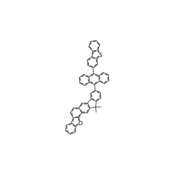 CC1(C)c2ccc(-c3c4ccccc4c(-c4ccc5c(c4)sc4ccccc45)c4ccccc34)cc2-c2cc3ccc4c5ccccc5oc4c3cc21